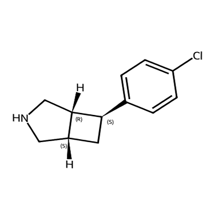 Clc1ccc([C@H]2C[C@@H]3CNC[C@@H]32)cc1